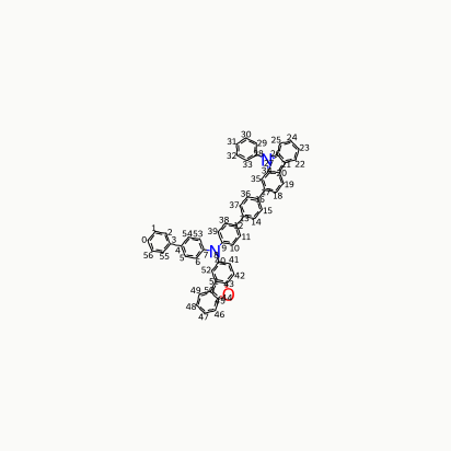 c1ccc(-c2ccc(N(c3ccc(-c4ccc(-c5ccc6c7ccccc7n(-c7ccccc7)c6c5)cc4)cc3)c3ccc4oc5ccccc5c4c3)cc2)cc1